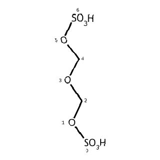 O=S(=O)(O)OCOCOS(=O)(=O)O